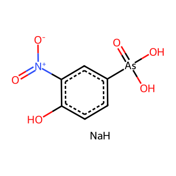 O=[N+]([O-])c1cc([As](=O)(O)O)ccc1O.[NaH]